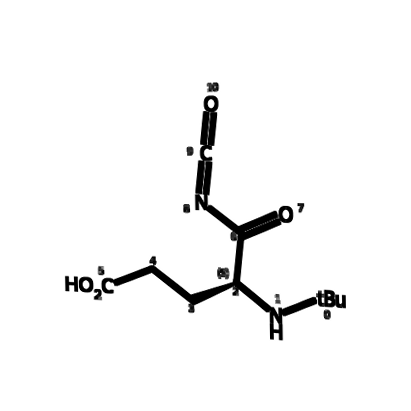 CC(C)(C)N[C@@H](CCC(=O)O)C(=O)N=C=O